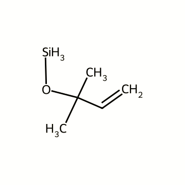 C=CC(C)(C)O[SiH3]